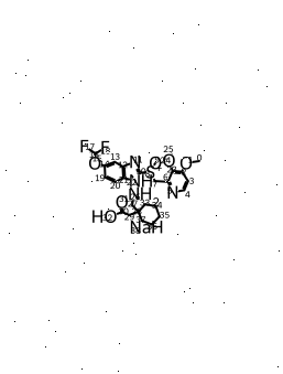 COc1ccnc(C[S+]([O-])c2nc3cc(OC(F)F)ccc3[nH]2)c1OC.NCC1(CC(=O)O)CCCCC1.[NaH]